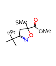 CCCC(C)(C)C1=NOC(SC)(C(=O)OC)C1